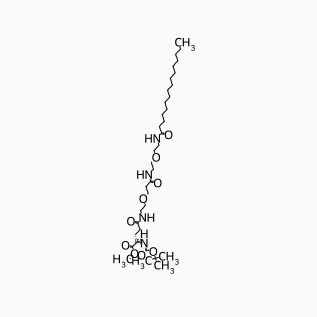 CCCCCCCCCCCCCCCC(=O)NCCOCCNC(=O)CCOCCNC(=O)CC[C@H](NC(=O)OC(C)(C)C)C(=O)OC